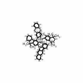 Cc1cc2c(cc1Nc1cc3c(cc1-c1c4c(cc5c1-c1ccccc1C5(C)C)-n1c5cc6ccccc6cc5c5cccc(c51)B4)Sc1ccccc1S3)C(C)(C)CCC2(C)C